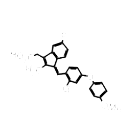 COc1ccc(Oc2ccc(/C=C3/C(C)=C(CC(=O)O)c4cc(F)ccc43)c(Cl)c2)cc1